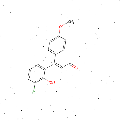 COc1ccc(/C(=C\C=O)c2cccc(Cl)c2O)cc1